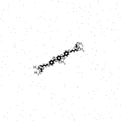 C=CC(=O)OC(CC)CCCOc1ccc(C(=O)Oc2ccc(OC(=O)c3ccc(OCCCC(CC)OC(=O)C=C)cc3)c(C)c2)cc1